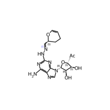 CC(=O)[C@H]1O[C@@H](n2cnc3c(N)nc(N/N=C/[C@@H]4CCC=CO4)nc32)[C@H](O)[C@@H]1O